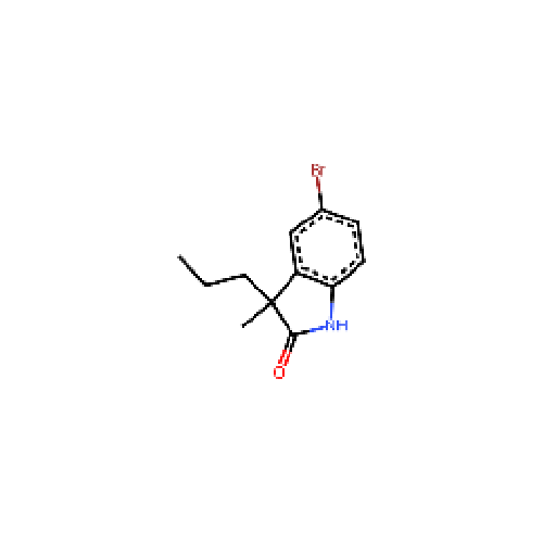 CCCC1(C)C(=O)Nc2ccc(Br)cc21